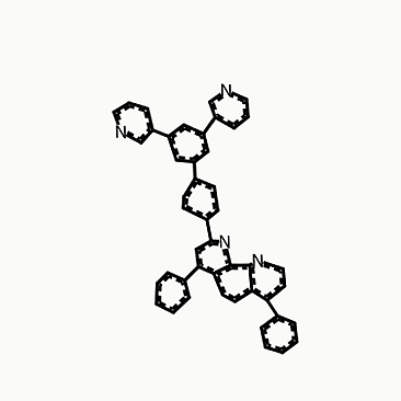 c1ccc(-c2ccnc3c2ccc2c(-c4ccccc4)cc(-c4ccc(-c5cc(-c6cccnc6)cc(-c6cccnc6)c5)cc4)nc23)cc1